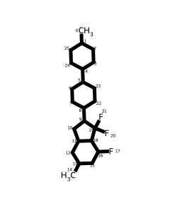 CC1CCC(C2CCC(C3CC4CC(C)CC(F)C4C3(F)F)CC2)CC1